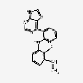 CNc1cccc(Nc2ncccc2-c2ncnc3[nH]cnc23)c1F